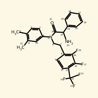 Cc1ccc(N(CCc2ccc(C(F)(F)F)c(F)c2F)C(=O)C(N)c2ccccc2)cc1C